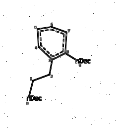 CCCCCCCCCCCCc1ccccc1CCCCCCCCCC